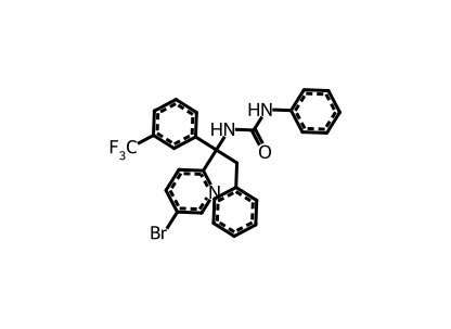 O=C(Nc1ccccc1)NC(Cc1ccccc1)(c1cccc(C(F)(F)F)c1)c1ccc(Br)cn1